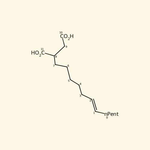 CCCCCC=CCCCCCC(CC(=O)O)C(=O)O